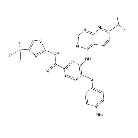 CC(C)c1ccc2c(Nc3cc(C(=O)Nc4nc(C(F)(F)F)cs4)ccc3Sc3ccc(N)cc3)ncnc2n1